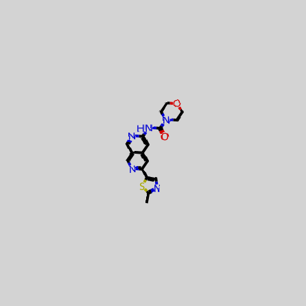 Cc1ncc(-c2cc3cc(NC(=O)N4CCOCC4)ncc3cn2)s1